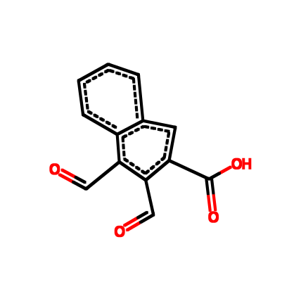 O=Cc1c(C(=O)O)cc2ccccc2c1C=O